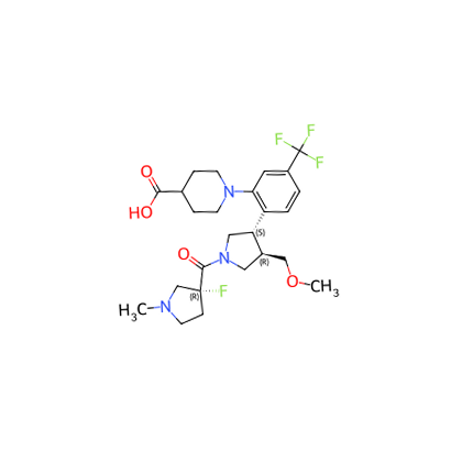 COC[C@H]1CN(C(=O)[C@@]2(F)CCN(C)C2)C[C@@H]1c1ccc(C(F)(F)F)cc1N1CCC(C(=O)O)CC1